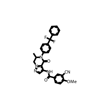 COc1ccc(C(=O)Nc2cnn3c2C(=O)N(c2ccc(C(F)(F)c4ccccc4)cc2)C(C)C3)cc1C#N